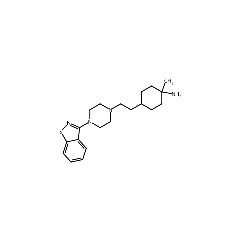 CC1(N)CCC(CCN2CCN(c3nsc4ccccc34)CC2)CC1